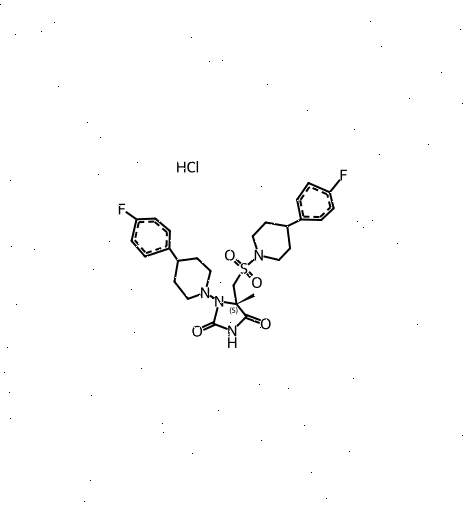 C[C@@]1(CS(=O)(=O)N2CCC(c3ccc(F)cc3)CC2)C(=O)NC(=O)N1N1CCC(c2ccc(F)cc2)CC1.Cl